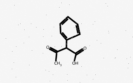 CC(=O)C(C(=O)O)c1ccccc1